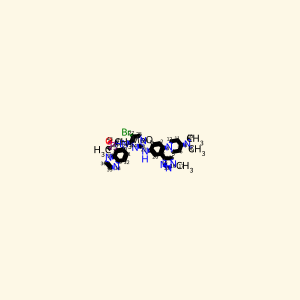 COc1cc(N2CCC(N(C)C)CC2)c(C2CN(C)N=N2)cc1Nc1ncc(Br)c(Nc2ccc3nccnc3c2P(C)(C)=O)n1